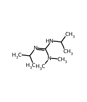 CC(C)N=C(NC(C)C)N(C)C